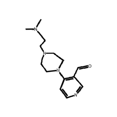 CN(C)CCN1CCN(c2ccncc2C=O)CC1